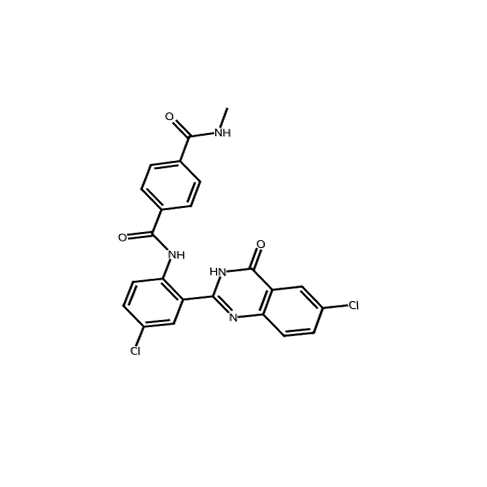 CNC(=O)c1ccc(C(=O)Nc2ccc(Cl)cc2-c2nc3ccc(Cl)cc3c(=O)[nH]2)cc1